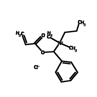 C=CC(=O)OC(c1ccccc1)[N+](C)(C)CCC.[Cl-]